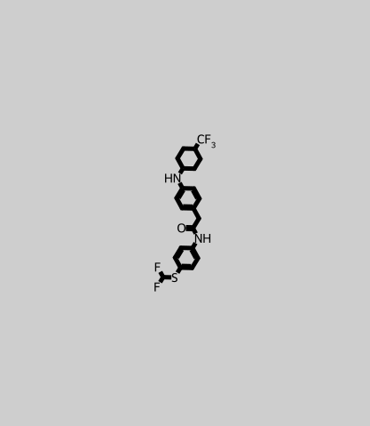 O=C(Cc1ccc(NC2CCC(C(F)(F)F)CC2)cc1)Nc1ccc(SC(F)F)cc1